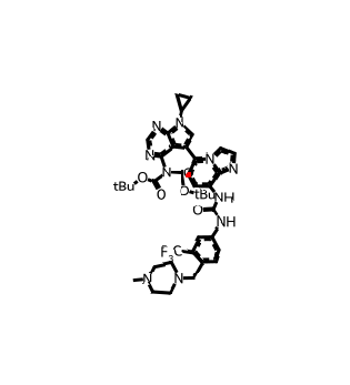 CN1CCN(Cc2ccc(NC(=O)Nc3ccc(-c4cn(C5CC5)c5ncnc(N(C(=O)OC(C)(C)C)C(=O)OC(C)(C)C)c45)n4ccnc34)cc2C(F)(F)F)CC1